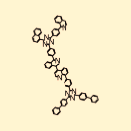 c1ccc(-c2ccc(-c3nc(-c4ccc(-c5ccccc5)cc4)nc(-c4ccc(-c5cccc6c(-c7cnc(-c8ccc(-c9nc(-c%10ccc(-c%11nccc%12ccccc%11%12)cc%10)nc(-c%10cccc%11ccccc%10%11)n9)cc8)c8ccccc78)ccnc56)cc4)n3)cc2)cc1